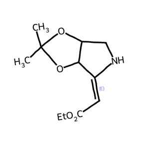 CCOC(=O)/C=C1/NCC2OC(C)(C)OC12